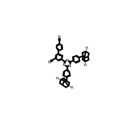 N#Cc1ccc(-c2cc(C#N)cc(-c3nc(-c4ccc(C56CC7C[C@H](C5)C[C@@H](C7)C6)cc4)nc(-c4ccc(C56CC7C[C@H](C5)C[C@@H](C7)C6)cc4)n3)c2)cc1